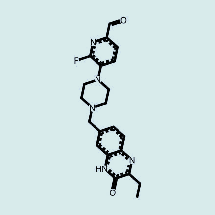 CCc1nc2ccc(CN3CCN(c4ccc(C=O)nc4F)CC3)cc2[nH]c1=O